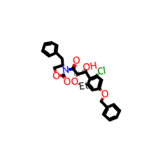 CCO[C@H](C(=O)N1C(=O)OCC1Cc1ccccc1)[C@H](O)c1ccc(OCc2ccccc2)cc1Cl